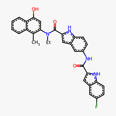 CCN(C(=O)c1cc2cc(NC(=O)c3cc4cc(F)ccc4[nH]3)ccc2[nH]1)c1cc(O)c2ccccc2c1C